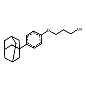 N#CCCCOc1ccc(C23CC4CC(CC(C4)C2)C3)cc1